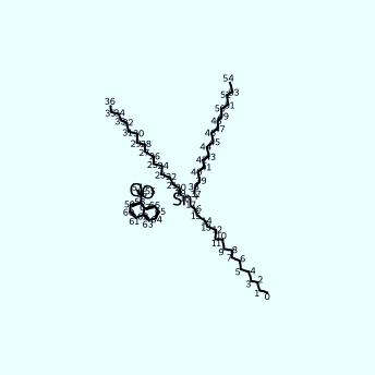 CCCCCCCCCCCCCCCCC[CH2][Sn+]([CH2]CCCCCCCCCCCCCCCCC)[CH2]CCCCCCCCCCCCCCCCC.O=C([O-])c1cccc2ccccc12